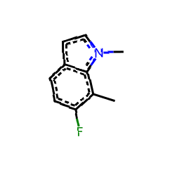 Cc1c(F)ccc2ccn(C)c12